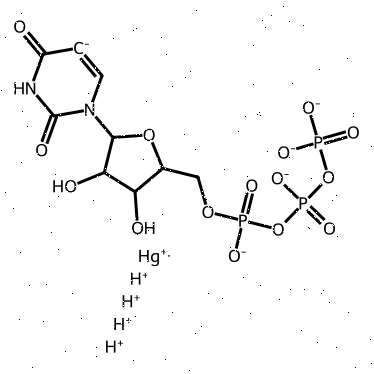 O=c1[c-]cn(C2OC(COP(=O)([O-])OP(=O)([O-])OP(=O)([O-])[O-])C(O)C2O)c(=O)[nH]1.[H+].[H+].[H+].[H+].[Hg+]